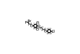 F/C(Br)=C/COc1cc(Cl)c(OCCCCOc2ccc(Cl)cc2)c(Cl)c1